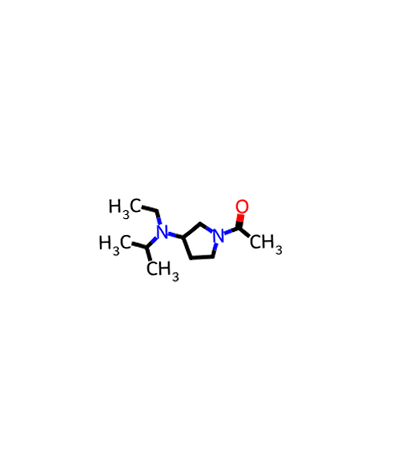 CCN(C(C)C)C1CCN(C(C)=O)C1